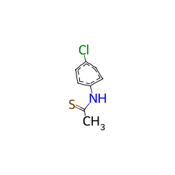 CC(=S)Nc1ccc(Cl)cc1